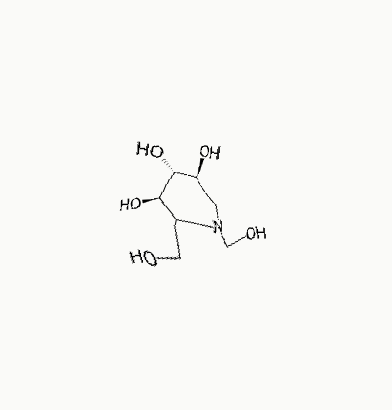 OCC1[C@@H](O)[C@H](O)[C@@H](O)CN1CO